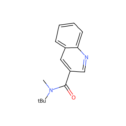 CN(C(=O)c1cnc2ccccc2c1)C(C)(C)C